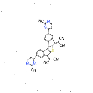 N#CC(C#N)=C1c2cc(-c3ccnc(C#N)n3)ccc2-c2c1sc1c2-c2ccc(-c3ccnc(C#N)n3)cc2C1=C(C#N)C#N